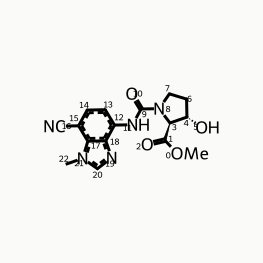 COC(=O)[C@@H]1[C@@H](O)CCN1C(=O)Nc1ccc(C#N)c2c1ncn2C